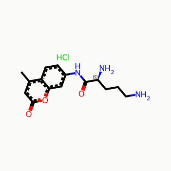 Cc1cc(=O)oc2cc(NC(=O)[C@@H](N)CCCN)ccc12.Cl